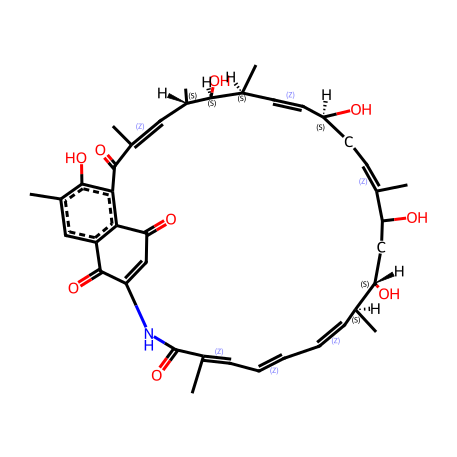 C/C1=C/C=C\C=C/[C@H](C)[C@@H](O)CC(O)/C(C)=C\C[C@H](O)/C=C\[C@H](C)[C@H](O)[C@@H](C)/C=C(/C)C(=O)c2c(O)c(C)cc3c2C(=O)C=C(NC1=O)C3=O